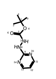 CC(C)(C)OC(=O)NNc1ncccn1